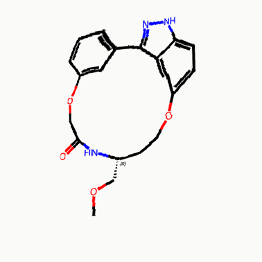 COC[C@H]1CCOc2ccc3[nH]nc(c3c2)-c2cccc(c2)OCC(=O)N1